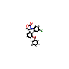 O=C1OC[C@H](c2cccc(Oc3ccccc3)c2)N1c1ccc(Cl)cc1